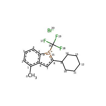 Cc1cccc2c1cc(C1CCCCC1)[s+]2C(F)(F)F.[Br-]